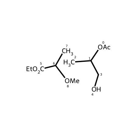 CC(=O)OC(C)CO.CCOC(=O)C(C)OC